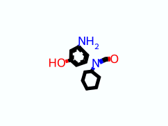 Nc1cccc(O)c1.O=C=NC1CCCCC1